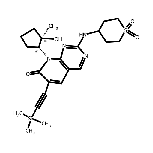 C[C@@]1(O)CCC[C@H]1n1c(=O)c(C#C[Si](C)(C)C)cc2cnc(NC3CCS(=O)(=O)CC3)nc21